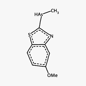 COc1ccc2sc([AsH]C)nc2c1